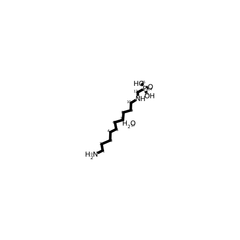 NCCCCCCCCCCNCP(=O)(O)O.O